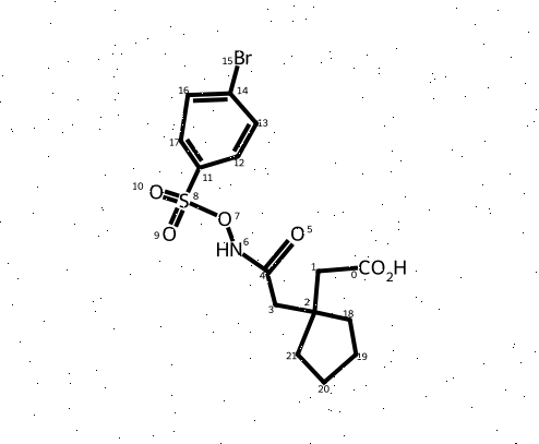 O=C(O)CC1(CC(=O)NOS(=O)(=O)c2ccc(Br)cc2)CCCC1